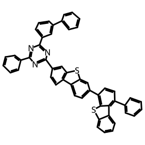 c1ccc(-c2cccc(-c3nc(-c4ccccc4)nc(-c4ccc5c(c4)sc4cc(-c6ccc(-c7ccccc7)c7c6sc6ccccc67)ccc45)n3)c2)cc1